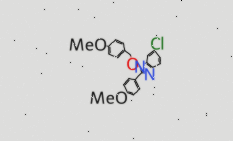 COc1ccc(COn2c(-c3ccc(OC)cc3)nc3ccc(Cl)cc32)cc1